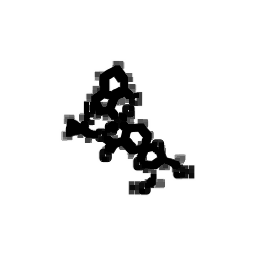 CC1(COC(=O)C2=CC3(CCC2S(=O)(=O)C2CCc4cccc(Cl)c42)O[C@@H](CO)[C@H](CO)O3)CC1